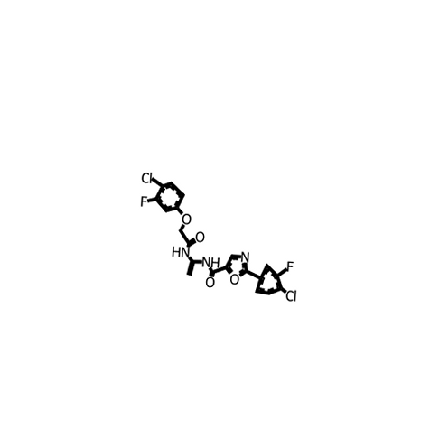 C=C(NC(=O)COc1ccc(Cl)c(F)c1)NC(=O)c1cnc(-c2ccc(Cl)c(F)c2)o1